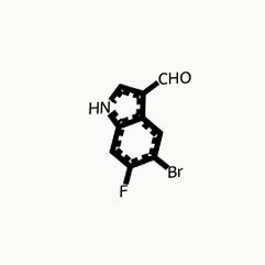 O=Cc1c[nH]c2cc(F)c(Br)cc12